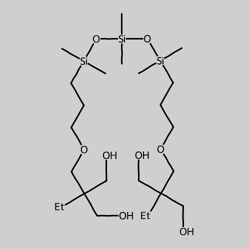 CCC(CO)(CO)COCCC[Si](C)(C)O[Si](C)(C)O[Si](C)(C)CCCOCC(CC)(CO)CO